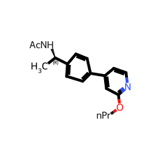 CCCOc1cc(-c2ccc([C@@H](C)NC(C)=O)cc2)ccn1